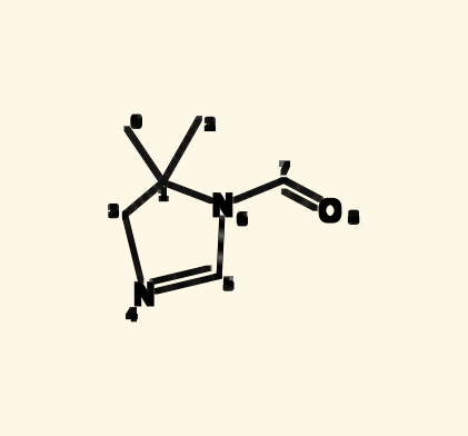 CC1(C)CN=CN1C=O